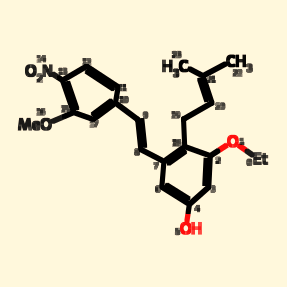 CCOc1cc(O)cc(C=Cc2ccc([N+](=O)[O-])c(OC)c2)c1CC=C(C)C